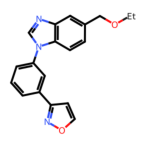 CCOCc1ccc2c(c1)ncn2-c1cccc(-c2ccon2)c1